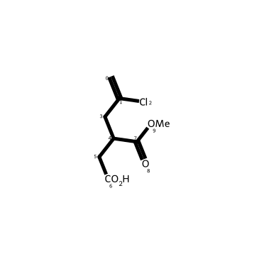 C=C(Cl)CC(CC(=O)O)C(=O)OC